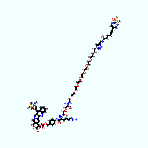 CC[C@@]1(OC(=O)OCc2ccc(NC(=O)[C@H](CCCCN)NC(=O)COCC(=O)NCCOCCOCCOCCOCCOCCOCCOCCOCCn3cc(CNC(=O)CCCC#Cc4cnc(S(C)(=O)=O)nc4)nn3)cc2)C(=O)OCc2c1cc1n(c2=O)Cc2c-1nc1ccccc1c2CCN(C(C)C)S(C)(=O)=O